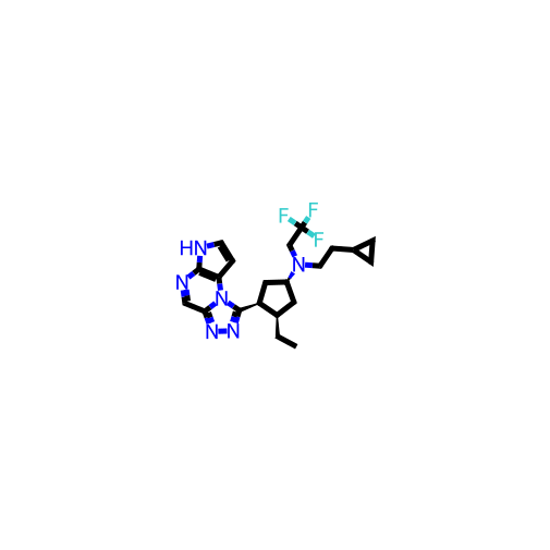 CC[C@@H]1C[C@H](N(CCC2CC2)CC(F)(F)F)C[C@@H]1c1nnc2cnc3[nH]ccc3n12